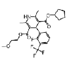 COCCOC(=O)C1=C(C)NC(C)=C(C(=O)OC2CCCC2)C1c1cccc(C(F)(F)F)c1F